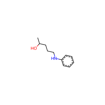 CC(O)CCCNc1ccccc1